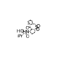 CC(C)C(O)C(=O)Nc1cccc2c1C(=O)c1sccc1CS2(=O)=O